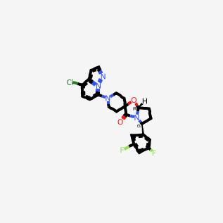 O=C1N2[C@@H](CC[C@H]2c2cc(F)cc(F)c2)OC12CCN(c1ccc(Cl)c3ccnn13)CC2